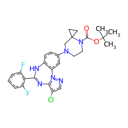 CC(C)(C)OC(=O)N1CCN(c2ccc3c(c2)-n2ncc(Cl)c2N=C(c2c(F)cccc2F)N3)CC12CC2